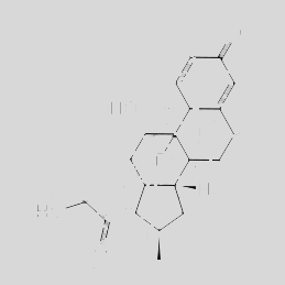 C[C@@H]1C[C@H]2[C@@H]3CCC4=CC(=O)C=C[C@]4(C)C3(F)[C@@H](O)C[C@]2(C)[C@H]1C(=O)CO